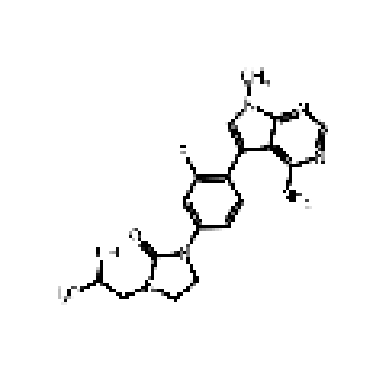 CC(C)CN1CCN(c2ccc(-c3cn(C)c4ncnc(N)c34)c(F)c2)C1=O